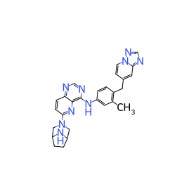 Cc1cc(Nc2ncnc3ccc(N4CC5CCC(C4)N5)nc23)ccc1Cc1ccn2ncnc2c1